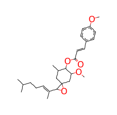 COc1ccc(C=CC(=O)OC2C(C)CC3(CC2OC)OC3C(C)=CCCC(C)C)cc1